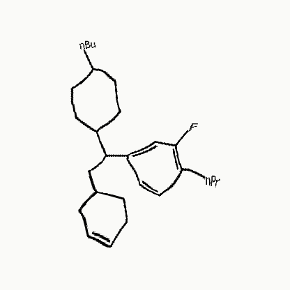 CCCCC1CCC(C(CC2CC=CCC2)c2ccc(CCC)c(F)c2)CC1